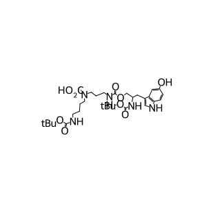 CC(C)(C)OC(=O)NCCCCN(CCCNC(=O)OCC(Cc1c[nH]c2ccc(O)cc12)NC(=O)OC(C)(C)C)C(=O)O